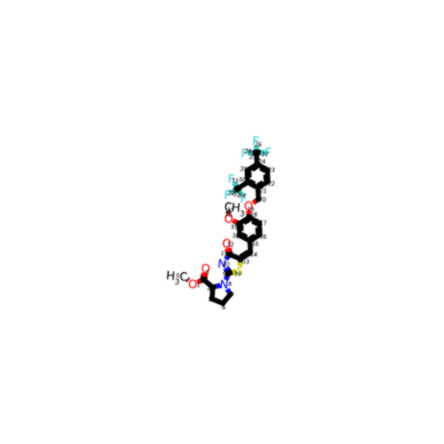 COC(=O)C1CCCN1C1=NC(=O)C(=Cc2ccc(OCc3ccc(C(F)(F)F)cc3C(F)(F)F)c(OC)c2)S1